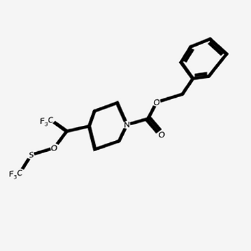 O=C(OCc1ccccc1)N1CCC(C(OSC(F)(F)F)C(F)(F)F)CC1